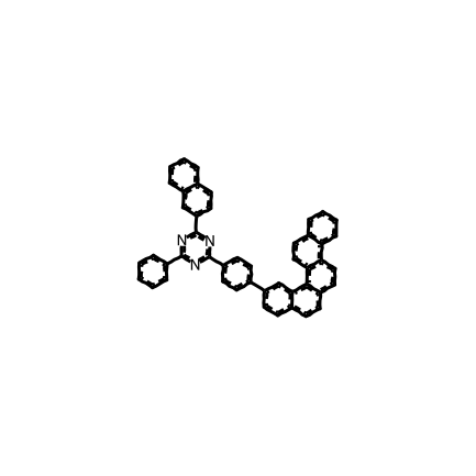 c1ccc(-c2nc(-c3ccc(-c4ccc5ccc6ccc7c8ccccc8ccc7c6c5c4)cc3)nc(-c3ccc4ccccc4c3)n2)cc1